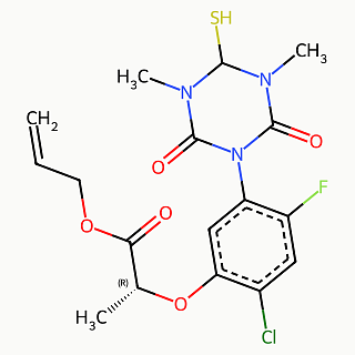 C=CCOC(=O)[C@@H](C)Oc1cc(N2C(=O)N(C)C(S)N(C)C2=O)c(F)cc1Cl